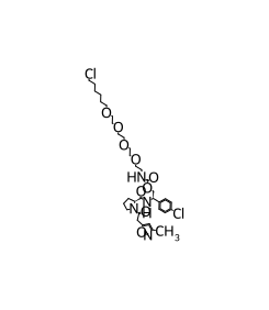 Cc1cc(CC(=O)N2CCC[C@H]2C(=O)N[C@@H](COC(=O)NCCOCCOCCOCCOCCCCCCCl)c2ccc(Cl)cc2)on1